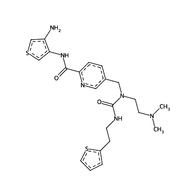 CN(C)CCN(Cc1ccc(C(=O)Nc2cscc2N)nc1)C(=O)NCCc1cccs1